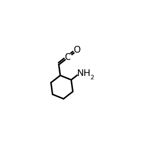 NC1CCCCC1C=C=O